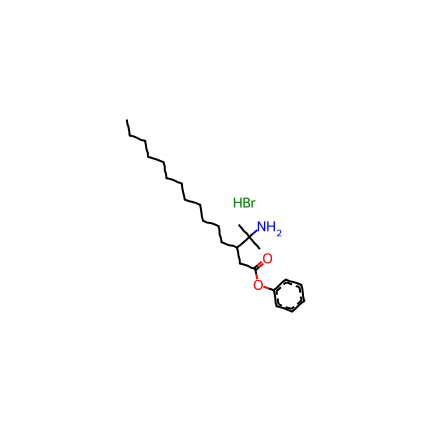 Br.CCCCCCCCCCCCC(CC(=O)Oc1ccccc1)C(C)(C)N